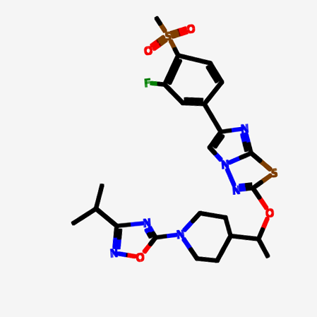 CC(C)c1noc(N2CCC(C(C)Oc3nn4cc(-c5ccc(S(C)(=O)=O)c(F)c5)nc4s3)CC2)n1